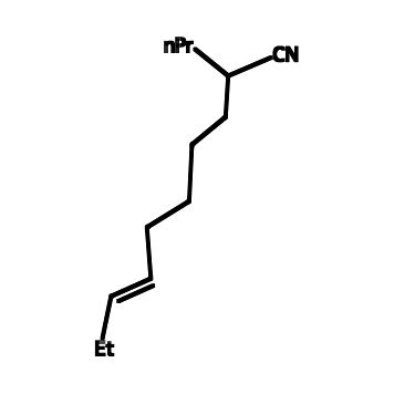 CCC=CCCCCC(C#N)CCC